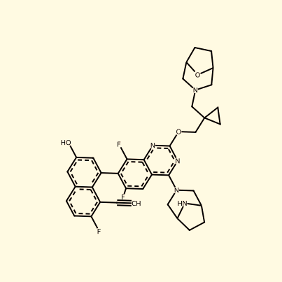 C#Cc1c(F)ccc2cc(O)cc(-c3c(F)cc4c(N5CC6CCC(C5)N6)nc(OCC5(CN6CC7CCC(C6)O7)CC5)nc4c3F)c12